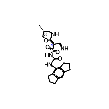 C[C@@H]1CN/C(=C(\C=N)S(=O)(=O)NC(=O)Nc2c3c(cc4c2CCC4)CCC3)OC1